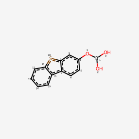 OB(O)Oc1ccc2c(c1)sc1ccccc12